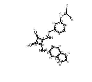 O=c1c(NCc2cccc(OC(F)F)c2)c(Nc2ccc3nc[nH]c3c2)c1=O